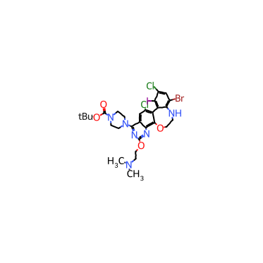 CN(C)CCOc1nc(N2CCN(C(=O)OC(C)(C)C)CC2)c2cc(Cl)c3c(c2n1)OCCNc1c(Br)cc(Cl)c(I)c1-3